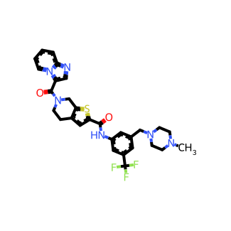 CN1CCN(Cc2cc(NC(=O)c3cc4c(s3)CN(C(=O)c3cnc5ccccn35)CC4)cc(C(F)(F)F)c2)CC1